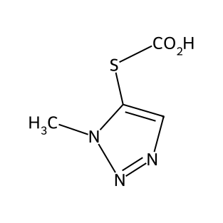 Cn1nncc1SC(=O)O